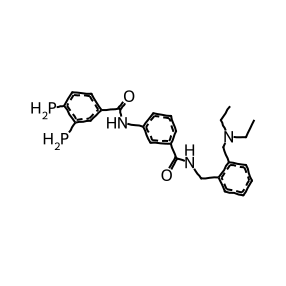 CCN(CC)Cc1ccccc1CNC(=O)c1cccc(NC(=O)c2ccc(P)c(P)c2)c1